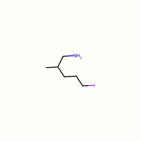 CC(CN)CCCI